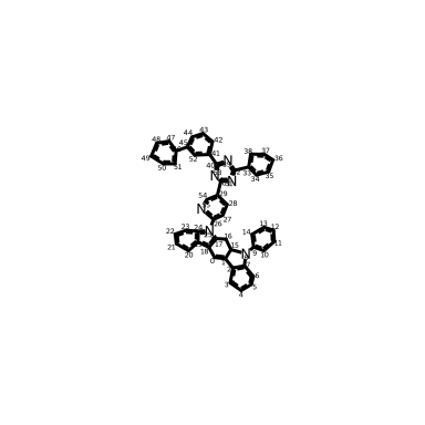 C1=C2c3ccccc3N(c3ccccc3)C2Cc2c1c1ccccc1n2-c1ccc(-c2nc(-c3ccccc3)nc(-c3cccc(-c4ccccc4)c3)n2)cn1